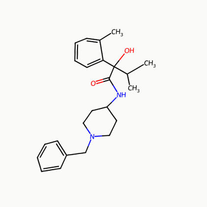 Cc1ccccc1C(O)(C(=O)NC1CCN(Cc2ccccc2)CC1)C(C)C